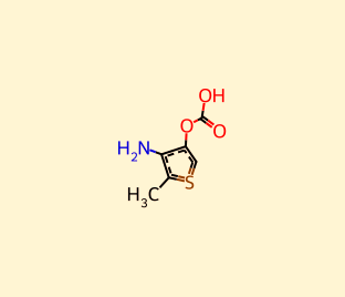 Cc1scc(OC(=O)O)c1N